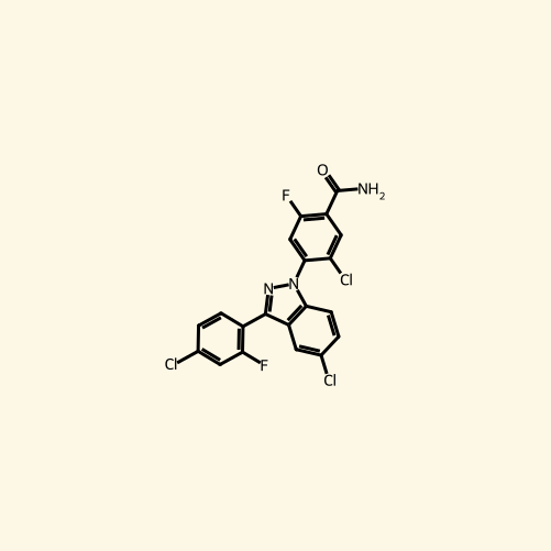 NC(=O)c1cc(Cl)c(-n2nc(-c3ccc(Cl)cc3F)c3cc(Cl)ccc32)cc1F